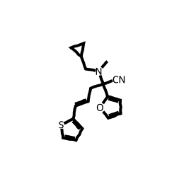 CN(CC1CC1)C(C#N)(CC=Cc1cccs1)c1ccco1